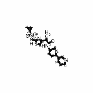 C=C(C(=O)Nc1ccc(-c2cccnc2)nc1)c1csc(NS(=O)(=O)C2CC2)n1